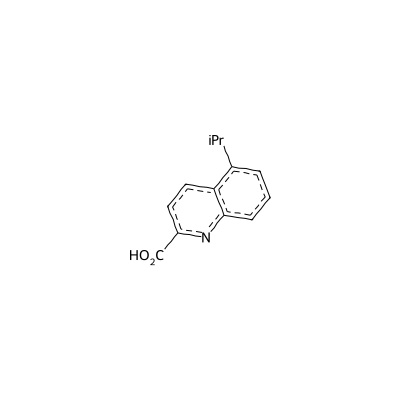 CC(C)c1cccc2nc(C(=O)O)ccc12